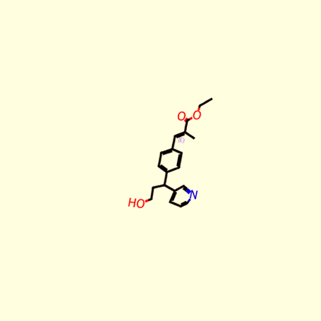 CCOC(=O)/C(C)=C/c1ccc(C(CCO)c2cccnc2)cc1